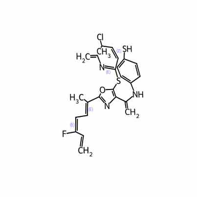 C=C/N=C(\C=C/C(C)Cl)Sc1oc(/C(C)=C/C=C(/F)C=C)nc1C(=C)Nc1ccc(S)cc1